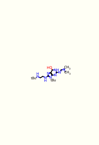 CN(C)/C=N/C1=Nc2c(nc(NCCNC(C)(C)C)n2C(C)(C)C)C(O)N1